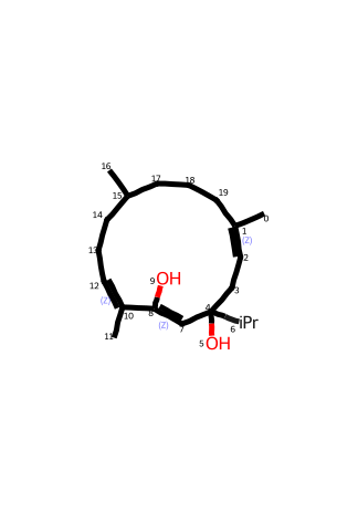 C/C1=C/CC(O)(C(C)C)/C=C(O)/C(C)=C\CCC(C)CCC1